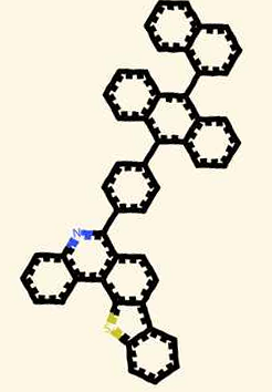 c1ccc2c(-c3c4ccccc4c(-c4ccc(-c5nc6ccccc6c6c5ccc5c7ccccc7sc56)cc4)c4ccccc34)cccc2c1